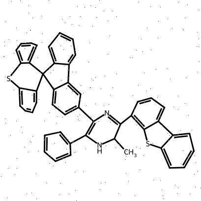 CC1NC(c2ccccc2)=C(c2ccc3c(c2)-c2ccccc2C32c3ccccc3Sc3ccccc32)N=C1c1cccc2c1sc1ccccc12